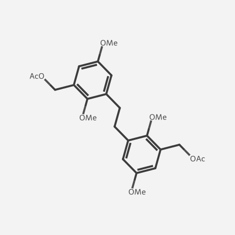 COc1cc(CCc2cc(OC)cc(COC(C)=O)c2OC)c(OC)c(COC(C)=O)c1